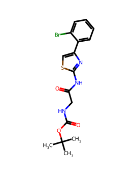 CC(C)(C)OC(=O)NCC(=O)Nc1nc(-c2ccccc2Br)cs1